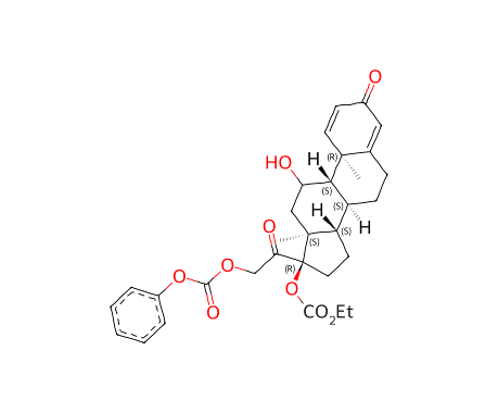 CCOC(=O)O[C@]1(C(=O)COC(=O)Oc2ccccc2)CC[C@H]2[C@@H]3CCC4=CC(=O)C=C[C@]4(C)[C@H]3C(O)C[C@@]21C